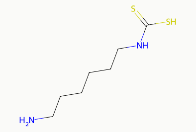 NCCCCCCNC(=S)S